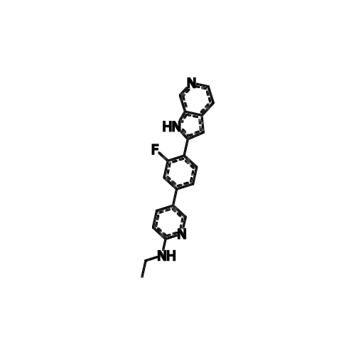 CCNc1ccc(-c2ccc(-c3cc4ccncc4[nH]3)c(F)c2)cn1